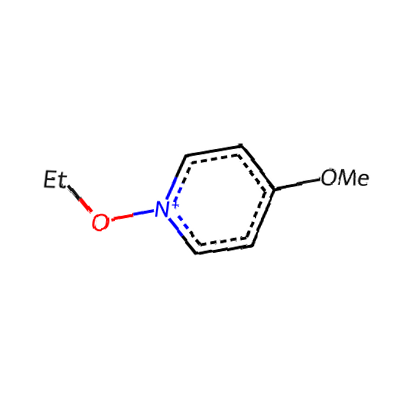 CCO[n+]1ccc(OC)cc1